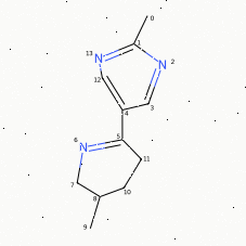 Cc1ncc(C2=NCC(C)CC2)cn1